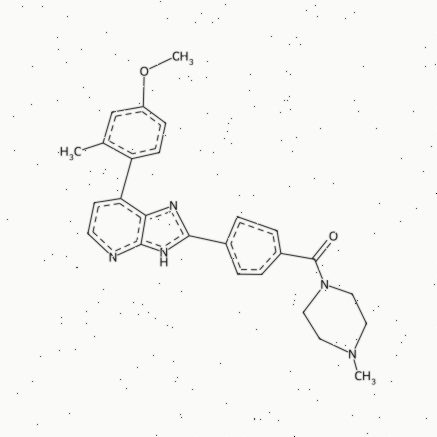 COc1ccc(-c2ccnc3[nH]c(-c4ccc(C(=O)N5CCN(C)CC5)cc4)nc23)c(C)c1